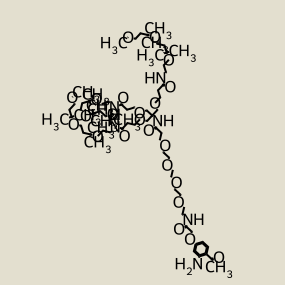 COCCC(C)(C)OCCC(C)(C)OCCNC(=O)CCOCC(COCCC(=O)NCCOC(C)(C)CCOC(C)(C)CCOC)(COCCC(=O)NCCOC(C)(C)CCOC(C)(C)CCOC)NC(=O)CCOCCOCCOCCOCCNC(=O)COc1ccc(C(C)=O)c(N)c1